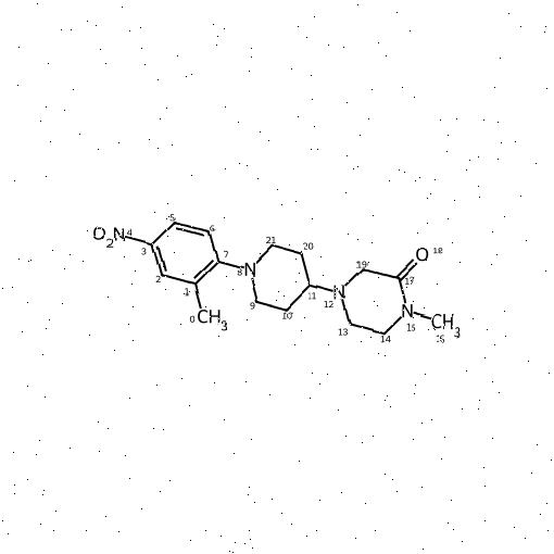 Cc1cc([N+](=O)[O-])ccc1N1CCC(N2CCN(C)C(=O)C2)CC1